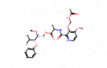 COc1ccnc(C(=O)NC(C)C(=O)OC[C@@H](OC)[C@H](Oc2ccccc2)C(C)C)c1OCOC(C)=O